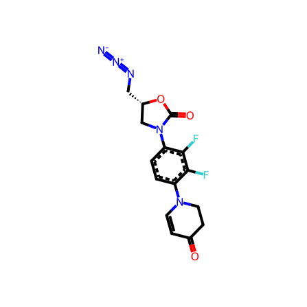 [N-]=[N+]=NC[C@H]1CN(c2ccc(N3C=CC(=O)CC3)c(F)c2F)C(=O)O1